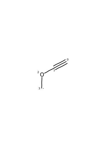 C#CO[CH2]